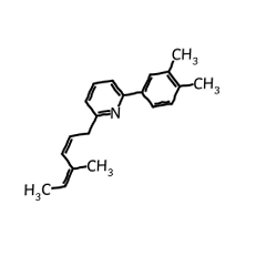 C/C=C(C)\C=C/Cc1cccc(-c2ccc(C)c(C)c2)n1